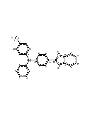 Cc1ccc(N(c2ccccc2)c2ccc(-c3nc4ccccc4o3)cc2)cc1